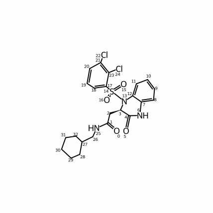 O=C(C[C@@H]1C(=O)Nc2ccccc2N1S(=O)(=O)c1cccc(Cl)c1Cl)NCC1CCCCC1